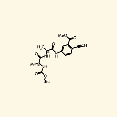 C#Cc1ccc(NC(=O)[C@H](C)NC(=O)[C@@H](NC(=O)OC(C)(C)C)C(C)C)cc1C(=O)OC